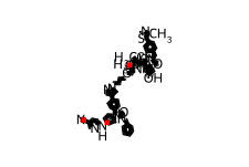 Cc1ncsc1-c1ccc(CNC(=O)[C@@H]2C[C@@H](O)CN2C(=O)[C@@H](NC(=O)COCCCCn2cc(-c3ccc(N(C(=O)NCc4ccccc4)[C@H]4CC[C@H](Nc5ccc(C#N)cn5)CC4)cc3)cn2)C(C)(C)C)cc1